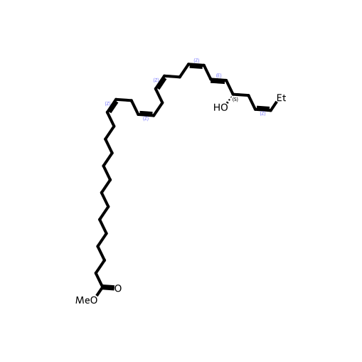 CC/C=C\C[C@H](O)/C=C/C=C\C/C=C\C/C=C\C/C=C\CCCCCCCCCCCCC(=O)OC